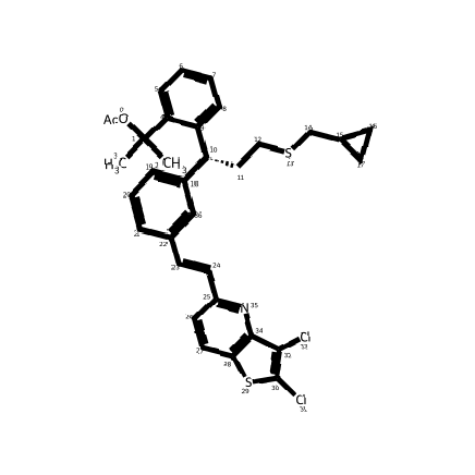 CC(=O)OC(C)(C)c1ccccc1[C@H](CCSCC1CC1)c1cccc(/C=C/c2ccc3sc(Cl)c(Cl)c3n2)c1